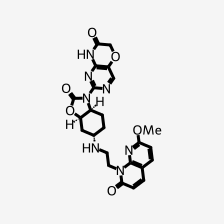 COc1ccc2ccc(=O)n(CCN[C@H]3CC[C@H]4[C@@H](C3)OC(=O)N4c3ncc4c(n3)NC(=O)CO4)c2n1